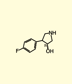 O[C@@H]1CNCC1c1ccc(F)cc1